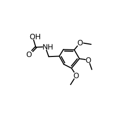 COc1cc(CNC(=O)O)cc(OC)c1OC